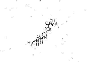 CCNC(=O)Nc1ccc(-c2nc(C(=O)N(C)C)cs2)cn1